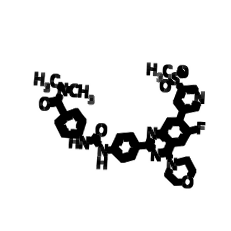 CN(C)C(=O)c1ccc(NC(=O)Nc2ccc(-c3nc(N4CCOCC4)c4cc(F)c(-c5cncc(S(C)(=O)=O)c5)cc4n3)cc2)cc1